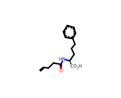 C=CCCC(=O)N[C@@H](CCCc1ccccc1)C(=O)O